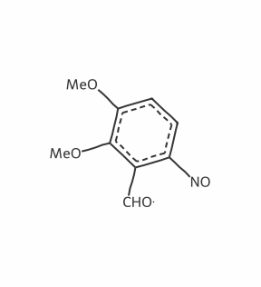 COc1ccc(N=O)c([C]=O)c1OC